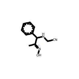 C/C(=N\O)C(NCC#N)c1ccccc1